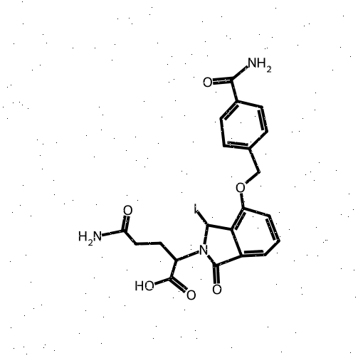 NC(=O)CCC(C(=O)O)N1C(=O)c2cccc(OCc3ccc(C(N)=O)cc3)c2C1I